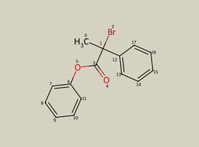 CC(Br)(C(=O)Oc1ccccc1)c1ccccc1